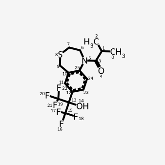 CC(C)C(=O)N1CCSCc2cc(C(O)(C(F)(F)F)C(F)(F)F)ccc21